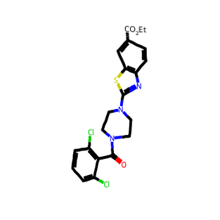 CCOC(=O)c1ccc2nc(N3CCN(C(=O)c4c(Cl)cccc4Cl)CC3)sc2c1